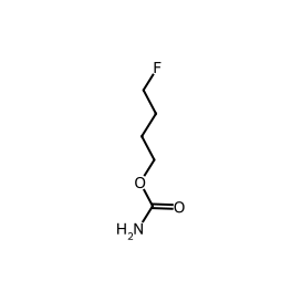 NC(=O)OCCCCF